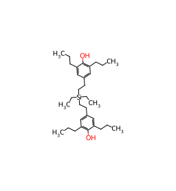 CCCc1cc(CC[Si](CC)(CC)CCc2cc(CCC)c(O)c(CCC)c2)cc(CCC)c1O